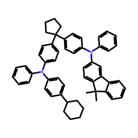 CC1(C)c2ccccc2-c2cc(N(c3ccccc3)c3ccc(C4(c5ccc(N(c6ccccc6)c6ccc(C7CCCCC7)cc6)cc5)CCCC4)cc3)ccc21